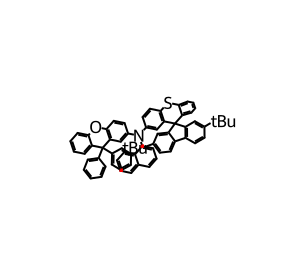 CC(C)(C)c1ccc2c(c1)C1(c3ccccc3Sc3ccc(N(c4ccc5c(c4)C(c4ccccc4)(c4ccccc4)c4ccccc4O5)c4cccc5ccccc45)cc31)c1cc(C(C)(C)C)ccc1-2